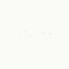 C=C/C=N/CCNC(=O)CCl